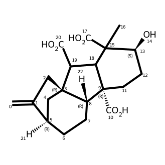 C=C1C[C@]23C[C@H]1CC[C@H]2[C@]1(C(=O)O)CC[C@H](O)C(C)(C(=O)O)C1C3C(=O)O